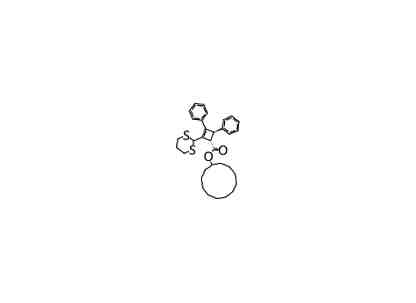 O=C(OC1CCCCCCCCCCC1)[C@@H]1C(C2SCCCS2)=C(c2ccccc2)[C@H]1c1ccccc1